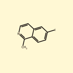 Cc1nccc2cc(I)ccc12